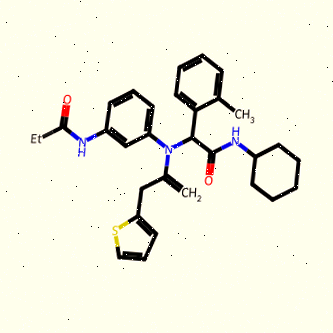 C=C(Cc1cccs1)N(c1cccc(NC(=O)CC)c1)C(C(=O)NC1CCCCC1)c1ccccc1C